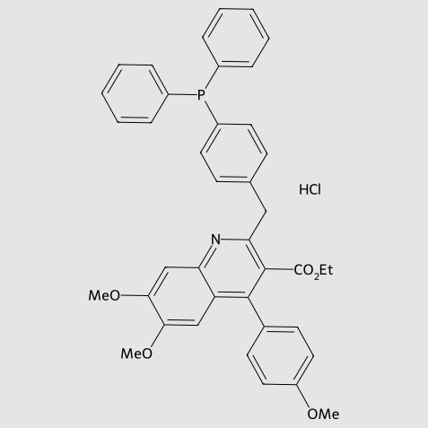 CCOC(=O)c1c(Cc2ccc(P(c3ccccc3)c3ccccc3)cc2)nc2cc(OC)c(OC)cc2c1-c1ccc(OC)cc1.Cl